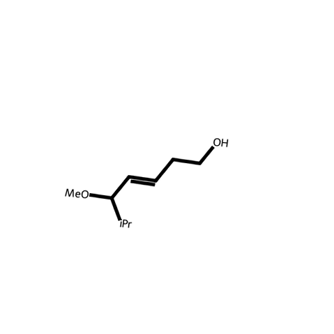 COC(C=CCCO)C(C)C